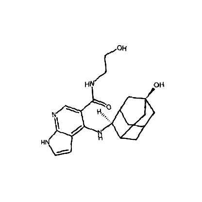 O=C(NCCO)c1cnc2[nH]ccc2c1N[C@H]1C2CC3CC1C[C@@](O)(C3)C2